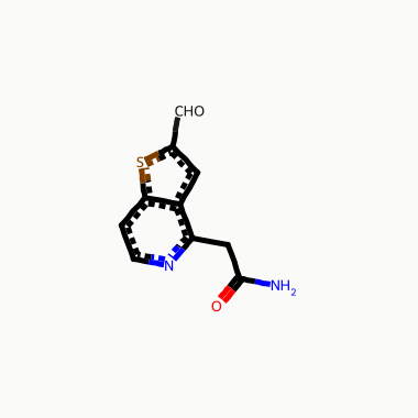 NC(=O)Cc1nccc2sc(C=O)cc12